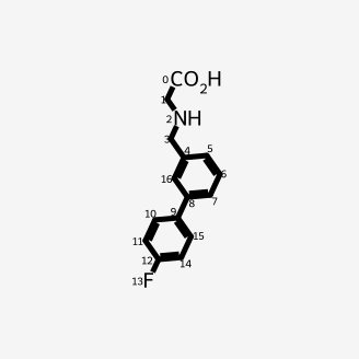 O=C(O)CNCc1cccc(-c2ccc(F)cc2)c1